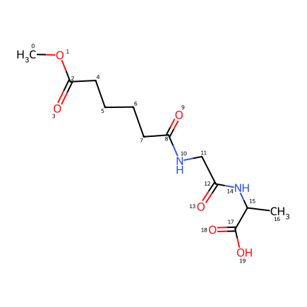 COC(=O)CCCCC(=O)NCC(=O)NC(C)C(=O)O